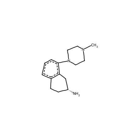 CN1CCN(c2cccc3c2C[C@H](N)CC3)CC1